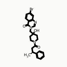 C[C@@H](CC(=O)N1CCC(O)(Cn2cnc3cc(Br)ccc3c2=O)CC1)c1ccccc1